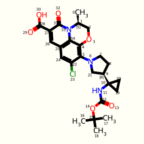 C[C@H]1COc2c(N3CC[C@@H](C4(NC(=O)OC(C)(C)C)CC4)C3)c(Cl)cc3cc(C(=O)O)c(=O)n1c23